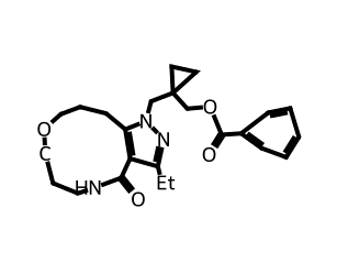 CCc1nn(CC2(COC(=O)c3ccccc3)CC2)c2c1C(=O)NCCCOCCC2